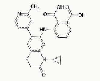 Cc1cc(-c2cc3c(cc2Nc2cccc(C(=O)O)c2C(=O)O)N(C2CC2)C(=O)CC3)ccn1